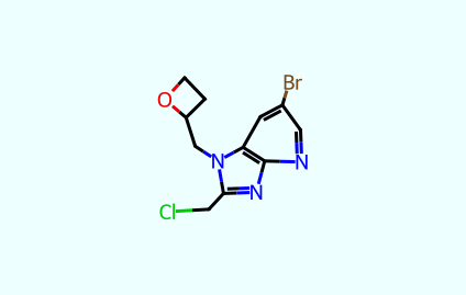 ClCc1nc2ncc(Br)cc2n1CC1CCO1